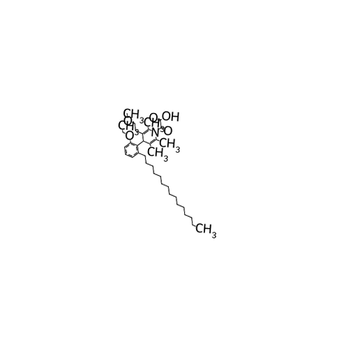 CCCCCCCCCCCCCCCc1cccc(OCC)c1C1C(C)=C(C)N(C(=O)C(=O)O)C(C)=C1CCOC